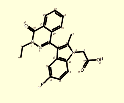 CCn1nc(-c2c(C)n(CC(=O)O)c3ccc(F)cc23)c2ccccc2c1=O